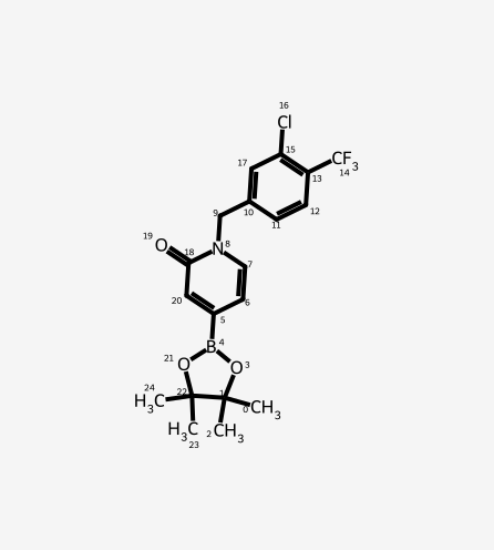 CC1(C)OB(c2ccn(Cc3ccc(C(F)(F)F)c(Cl)c3)c(=O)c2)OC1(C)C